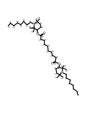 CCCCCCCCN1C(C)(C)CCC(OC(=O)CCCCCCCCC(=O)OC2CCC(C)(C)N(CCCCCCCC)C2(C)C)C1(C)C